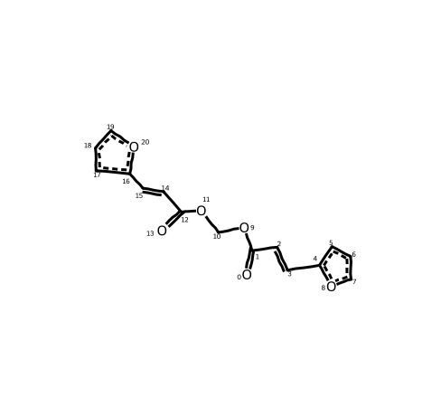 O=C(/C=C/c1ccco1)OCOC(=O)/C=C/c1ccco1